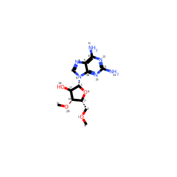 COC[C@H]1O[C@@H](n2cnc3c(N)nc(N)nc32)C(O)[C@H]1OC